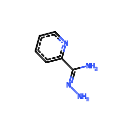 N/N=C(\N)c1ccccn1